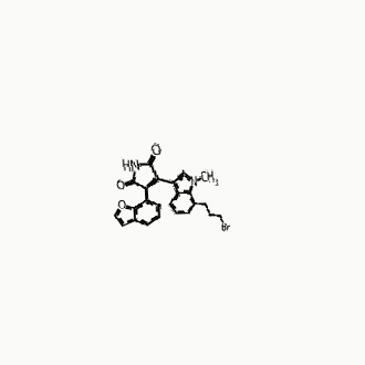 Cn1cc(C2=C(c3cccc4ccoc34)C(=O)NC2=O)c2cccc(CCCBr)c21